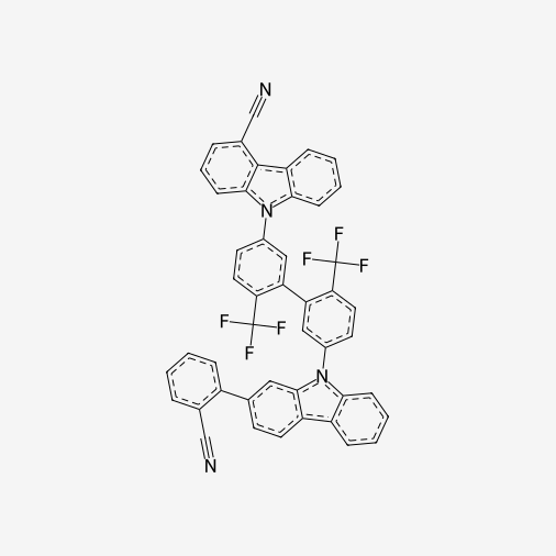 N#Cc1ccccc1-c1ccc2c3ccccc3n(-c3ccc(C(F)(F)F)c(-c4cc(-n5c6ccccc6c6c(C#N)cccc65)ccc4C(F)(F)F)c3)c2c1